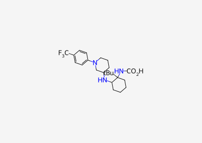 CC(C)(C)C1(NC(=O)O)CCCCC1NC1CCCN(c2ccc(C(F)(F)F)cc2)C1